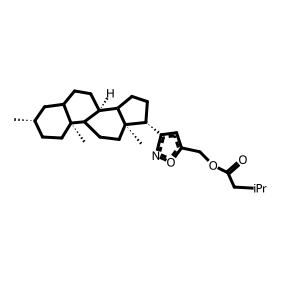 CC(C)CC(=O)OCc1cc([C@H]2CCC3[C@@H]4CCC5C[C@@H](C)CC[C@]5(C)C4CC[C@@]32C)no1